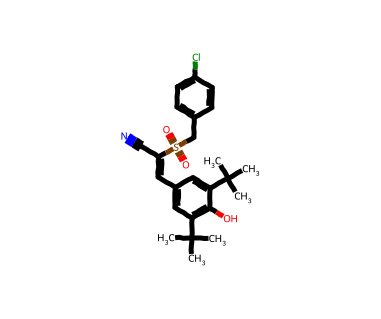 CC(C)(C)c1cc(C=C(C#N)S(=O)(=O)Cc2ccc(Cl)cc2)cc(C(C)(C)C)c1O